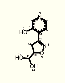 Oc1cnccc1C1=NOC(C(O)O)C1